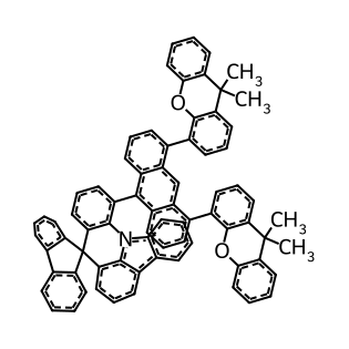 CC1(C)c2ccccc2Oc2c(-c3cccc4c(-c5cccc6c5-n5c7ccccc7c7cccc(c75)C65c6ccccc6-c6ccccc65)c5cccc(-c6cccc7c6Oc6ccccc6C7(C)C)c5cc34)cccc21